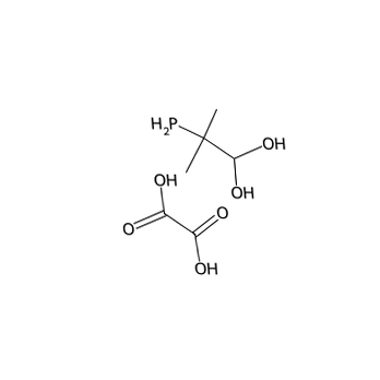 CC(C)(P)C(O)O.O=C(O)C(=O)O